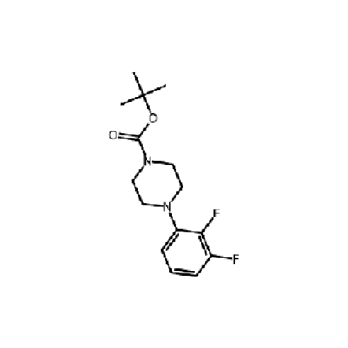 CC(C)(C)OC(=O)N1CCN(c2cccc(F)c2F)CC1